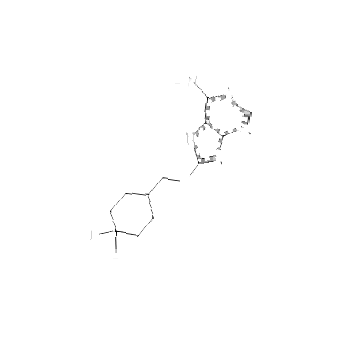 Nc1ncnc2[nH]c(SCC3CCC(F)(F)CC3)nc12